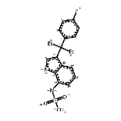 CCC(CC)(c1ccc(F)cc1)c1c[nH]c2c(NS(C)(=O)=O)cccc12